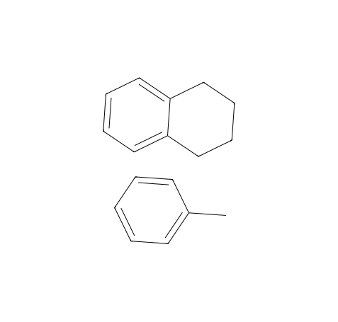 Cc1ccccc1.c1ccc2c(c1)CCCC2